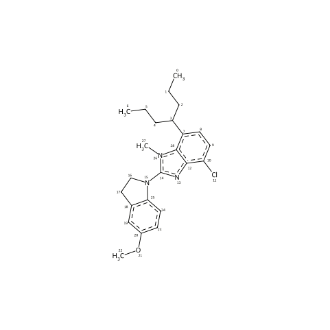 CCCC(CCC)c1ccc(Cl)c2nc(N3CCc4cc(OC)ccc43)n(C)c12